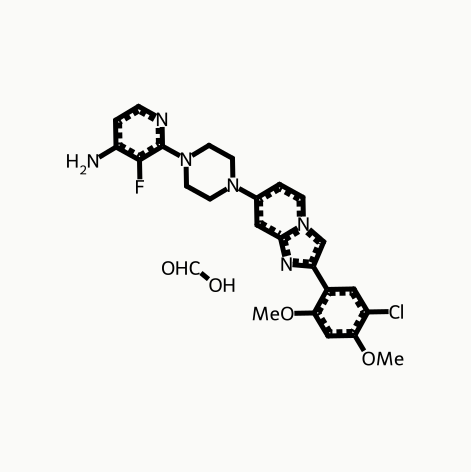 COc1cc(OC)c(-c2cn3ccc(N4CCN(c5nccc(N)c5F)CC4)cc3n2)cc1Cl.O=CO